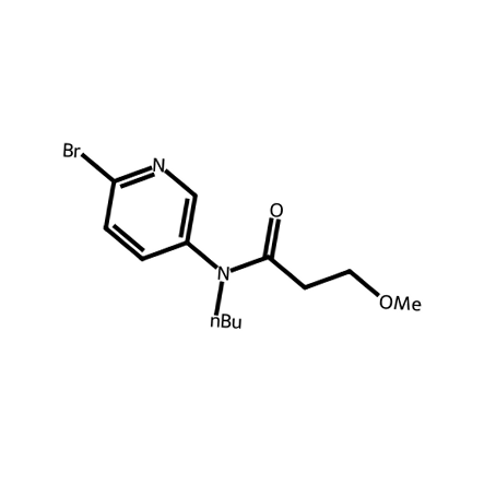 CCCCN(C(=O)CCOC)c1ccc(Br)nc1